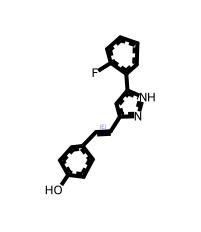 Oc1ccc(/C=C/c2cc(-c3ccccc3F)[nH]n2)cc1